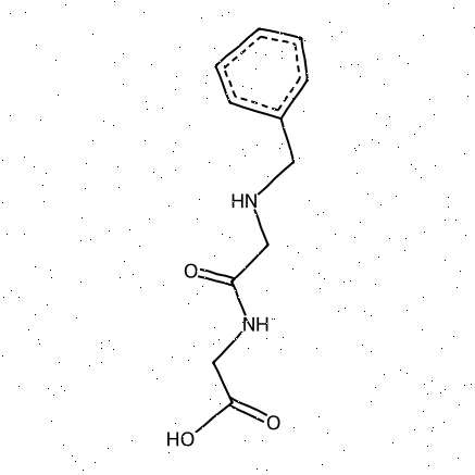 O=C(O)CNC(=O)CNCc1ccccc1